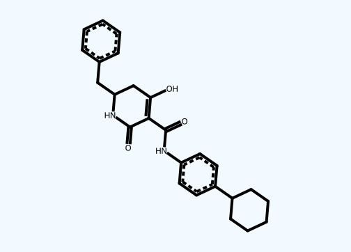 O=C(Nc1ccc(C2CCCCC2)cc1)C1=C(O)CC(Cc2ccccc2)NC1=O